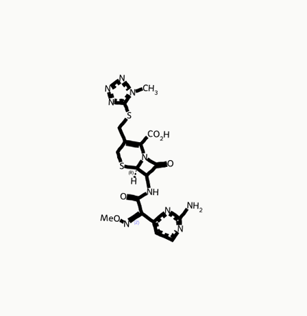 CO/N=C(\C(=O)NC1C(=O)N2C(C(=O)O)=C(CSc3nnnn3C)CS[C@H]12)c1ccnc(N)n1